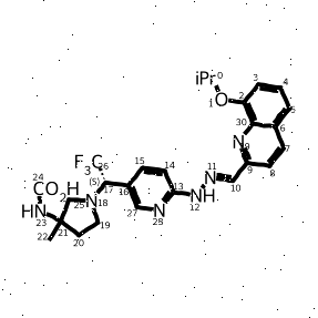 CC(C)Oc1cccc2ccc(C=NNc3ccc([C@H](N4CCC(C)(NC(=O)O)C4)C(F)(F)F)cn3)nc12